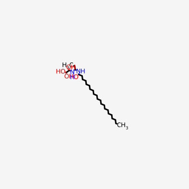 CCCCCCCCCCCCCCCCCCCCCC(=O)NC(CC)NC(O)C(O)O